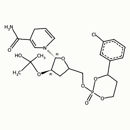 CC(C)(O)O[C@@H]1CC(COP2(=O)OCCC(c3cccc(Cl)c3)O2)O[C@H]1N1C=CCC(C(N)=O)=C1